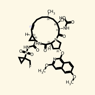 COc1ccc2c(O[C@@H]3C[C@H]4C(=O)N[C@]5(C(=O)NS(=O)(=O)C6(CF)CC6)C[C@H]5/C=C\CC[C@H](C)C[C@@H](C)[C@H](NC(=O)O)C(=O)N4C3)nc(OC)cc2c1